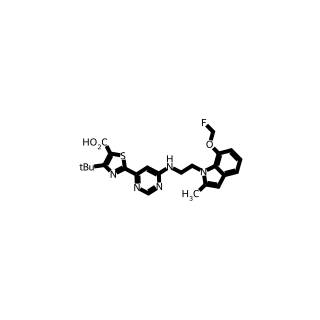 Cc1cc2cccc(OCF)c2n1CCNc1cc(-c2nc(C(C)(C)C)c(C(=O)O)s2)ncn1